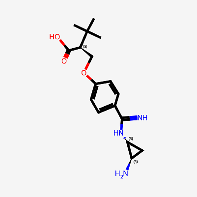 CC(C)(C)[C@@H](COc1ccc(C(=N)N[C@@H]2C[C@H]2N)cc1)C(=O)O